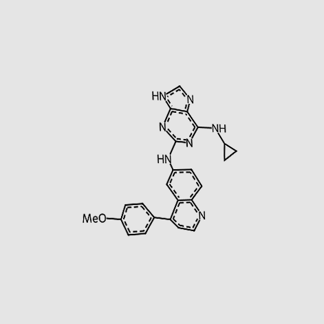 COc1ccc(-c2ccnc3ccc(Nc4nc(NC5CC5)c5nc[nH]c5n4)cc23)cc1